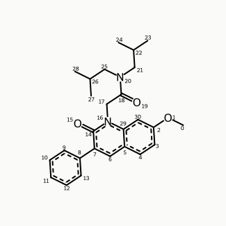 COc1ccc2cc(-c3ccccc3)c(=O)n(CC(=O)N(CC(C)C)CC(C)C)c2c1